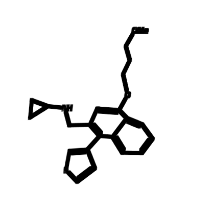 COCCCOc1cc(CNC2CC2)c(-c2ccsc2)c2ccccc12